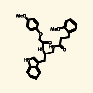 COc1ccc(OCC(=O)N[C@@H](CNC(=O)CCc2ccccc2OC)Cc2c[nH]c3ccccc23)cc1